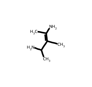 CC(N)=C(C)C(C)N